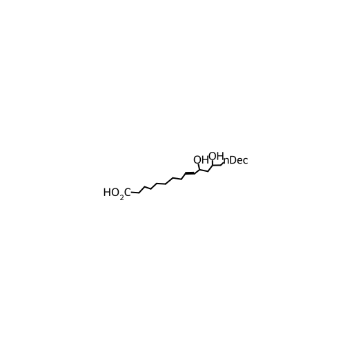 CCCCCCCCCCCC(O)CC(O)/C=C/CCCCCCCC(=O)O